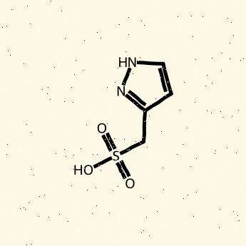 O=S(=O)(O)Cc1cc[nH]n1